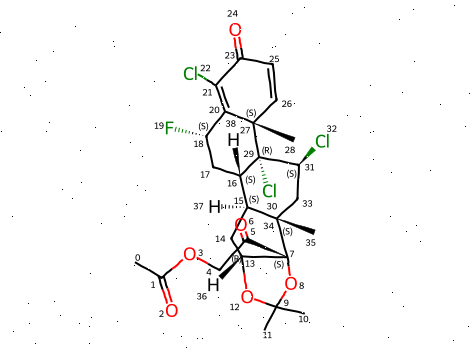 CC(=O)OCC(=O)[C@@]12OC(C)(C)O[C@@H]1C[C@H]1[C@@H]3C[C@H](F)C4=C(Cl)C(=O)C=C[C@]4(C)[C@@]3(Cl)[C@@H](Cl)C[C@@]12C